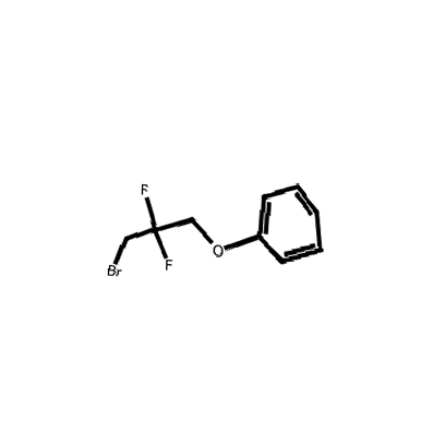 FC(F)(CBr)COc1ccccc1